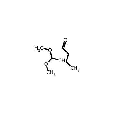 CCCC=O.COC(C)OC